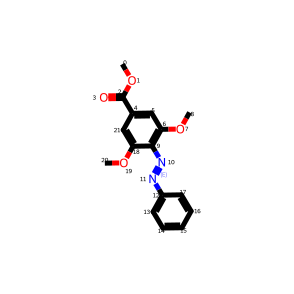 COC(=O)c1cc(OC)c(/N=N/c2ccccc2)c(OC)c1